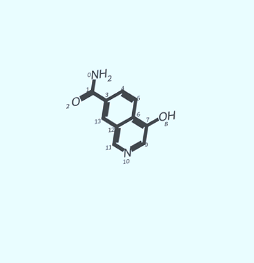 NC(=O)c1ccc2c(O)cncc2c1